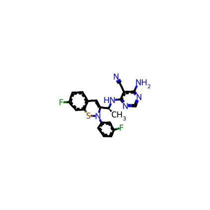 C[C@H](Nc1ncnc(N)c1C#N)C1=Cc2ccc(F)cc2SN1c1cccc(F)c1